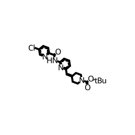 CC(C)(C)OC(=O)N1CCC(=Cc2cccc(NC(=O)c3ccc(Cl)cn3)n2)CC1